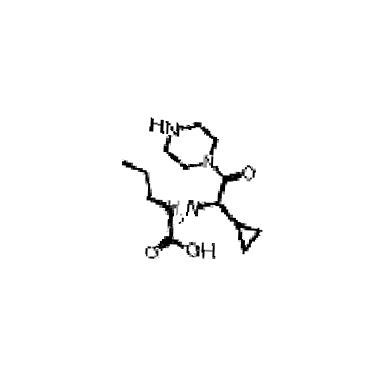 CCCCC(=O)O.NC(C(=O)N1CCNCC1)C1CC1